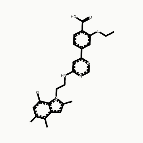 CCOc1cc(-c2cc(NCCn3c(C)cc4c(C)c(F)cc(Cl)c43)ncn2)ccc1C(=O)O